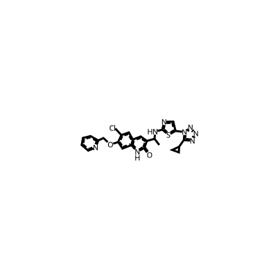 CC(Nc1ncc(-n2nnnc2C2CC2)s1)c1cc2cc(Cl)c(OCc3ccccn3)cc2[nH]c1=O